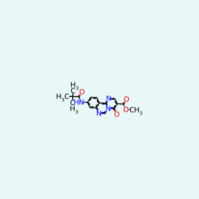 COC(=O)c1cnc2c3ccc(NC(=O)C(C)(C)C)cc3ncn2c1=O